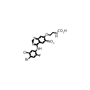 O=C(O)NCCOc1cc2ncnc(Nc3cc(Cl)c(Br)cc3F)c2cc1[N+](=O)[O-]